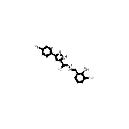 CCCc1cccc(/C=N/NC(=O)c2cc(-c3ccc(F)cc3)n[nH]2)c1O